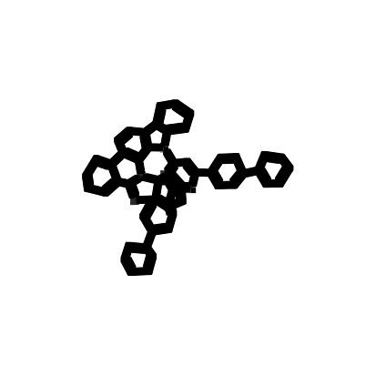 c1ccc(-c2ccc(-c3cc(-n4c5ccccc5c5ccc6c7ccccc7c7nc8ccccc8n7c6c54)nc(-c4ccc(-c5ccccc5)cc4)n3)cc2)cc1